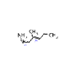 CC/C=C(C)/C=N\N